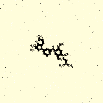 Cc1ccc2c(n1)C(C)(C)CN2c1ccnc(Nc2cc(N)c(N(C)CCN(C)C)cc2OC(C)C)n1